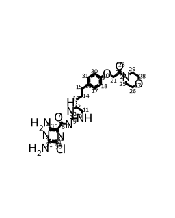 Nc1nc(N)c(C(=O)/N=C2/NC[C@@H](CCCc3ccc(OCC(=O)N4CCOCC4)cc3)N2)nc1Cl